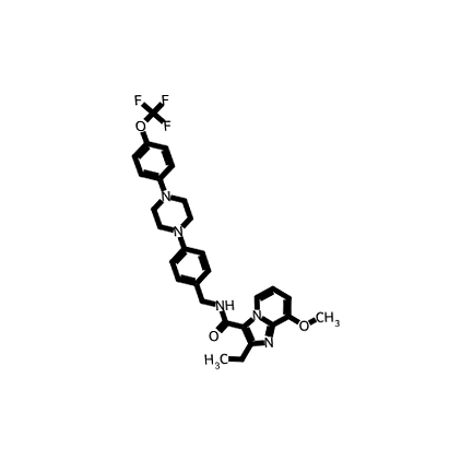 CCc1nc2c(OC)cccn2c1C(=O)NCc1ccc(N2CCN(c3ccc(OC(F)(F)F)cc3)CC2)cc1